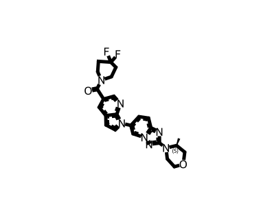 C[C@H]1COCCN1c1nc2ccc(-n3ccc4cc(C(=O)N5CCC(F)(F)CC5)cnc43)cn2n1